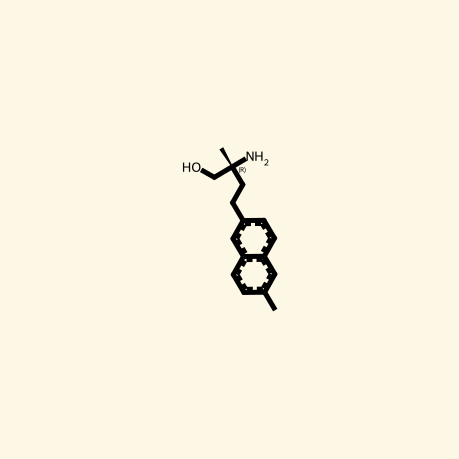 Cc1ccc2cc(CC[C@@](C)(N)CO)ccc2c1